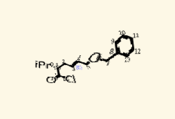 CC(C)[C@H](C/C=C/COCc1ccccc1)C(=O)Cl